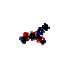 CN(C(=O)OC(C)(C)C)[C@@H](Cc1ccc(OS(=O)(=O)c2cccnc2)cc1)C(=O)N1CCN(c2ccccc2)CC1